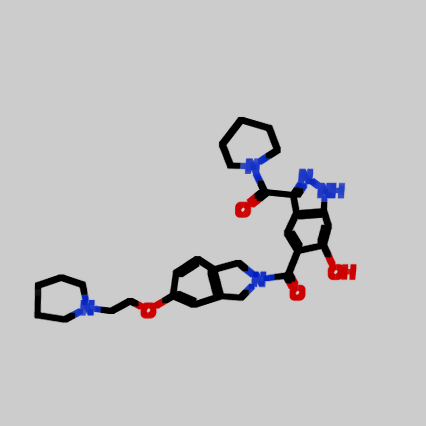 O=C(c1cc2c(C(=O)N3CCCCC3)n[nH]c2cc1O)N1Cc2ccc(OCCN3CCCCC3)cc2C1